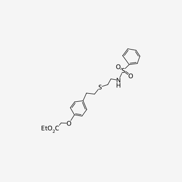 CCOC(=O)COc1ccc(CCSCCNS(=O)(=O)c2ccccc2)cc1